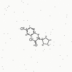 O=C(Cl)N(Cc1ccc(Cl)cc1)C1CCCC1